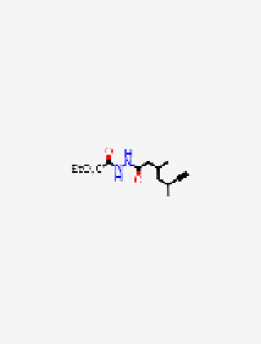 C#CC(C)CC(C)CC(=O)NNC(=O)C(=O)OCC